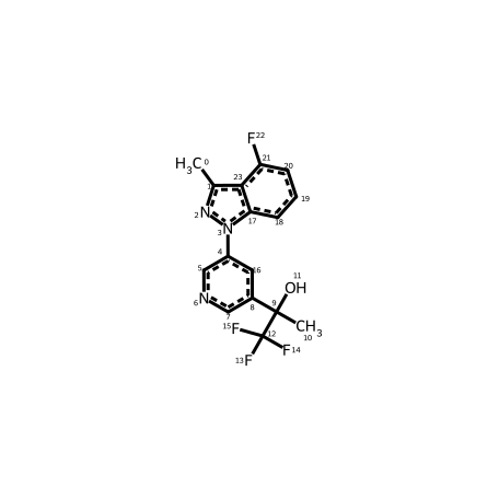 Cc1nn(-c2cncc(C(C)(O)C(F)(F)F)c2)c2cccc(F)c12